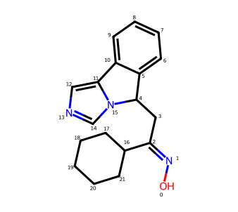 O/N=C(/CC1c2ccccc2-c2cncn21)C1CCCCC1